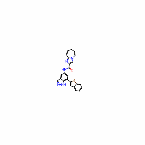 O=C(Nc1cc(-c2cc3ccccc3s2)c2[nH]ncc2c1)c1cn2c(n1)C=CCC=C2